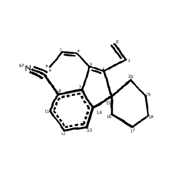 C=CC1=C(/C=C\C)c2c(C#N)cccc2C12CCCCC2